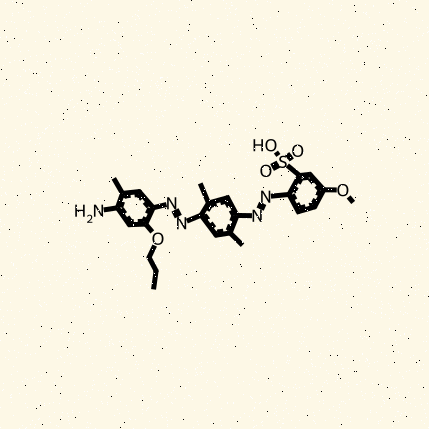 CCCOc1cc(N)c(C)cc1N=Nc1cc(C)c(N=Nc2ccc(OC)cc2S(=O)(=O)O)cc1C